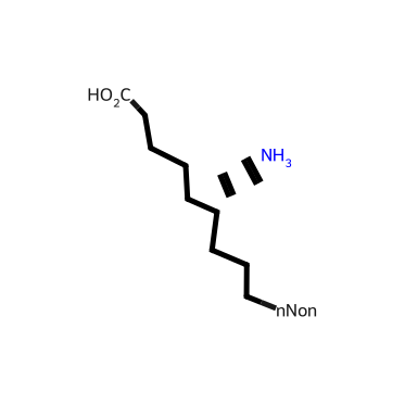 C=C.C=C.CCCCCCCCCCCCCCCCCC(=O)O.N